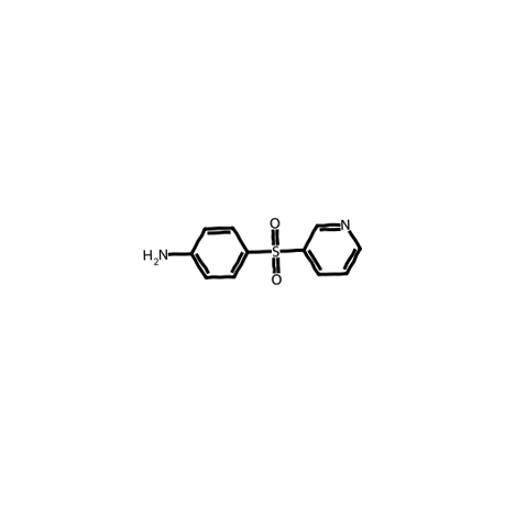 Nc1ccc(S(=O)(=O)c2cccnc2)cc1